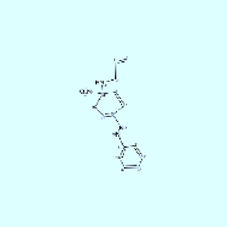 C=CCNC1([N+](=O)[O-])C=CC(N=Nc2ccccc2)=CC1